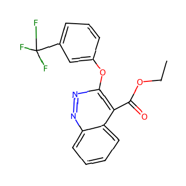 CCOC(=O)c1c(Oc2cccc(C(F)(F)F)c2)nnc2ccccc12